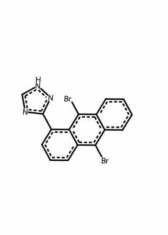 Brc1c2ccccc2c(Br)c2c(-c3nc[nH]n3)cccc12